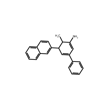 CC1C(N)=CC(c2ccccc2)=CC1c1ccc2ccccc2c1